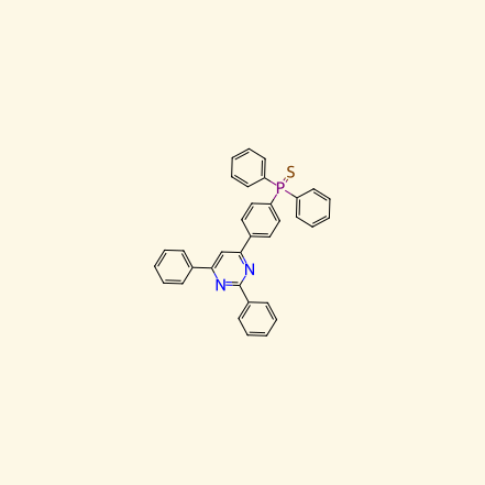 S=P(c1ccccc1)(c1ccccc1)c1ccc(-c2cc(-c3ccccc3)nc(-c3ccccc3)n2)cc1